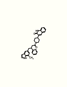 Cc1cc(CC(CC(=O)N2CCC(c3cc4ccccc4[nH]c3=O)CC2)c2ccccn2)cc2cn[nH]c12